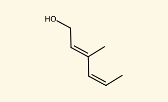 C/C=C\C(C)=C\CO